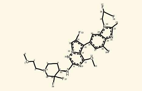 COCCN1CC[C@@H](Nc2nc(OC)c3c(-c4cc(F)c5nc(C)n(CC(F)F)c5c4)c(F)cn3n2)C(F)(F)C1